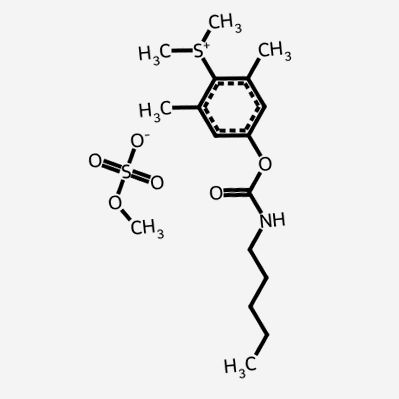 CCCCCNC(=O)Oc1cc(C)c([S+](C)C)c(C)c1.COS(=O)(=O)[O-]